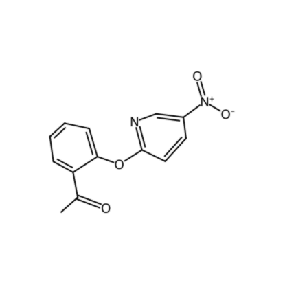 CC(=O)c1ccccc1Oc1ccc([N+](=O)[O-])cn1